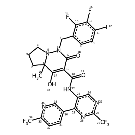 CC12CCCN1N(Cc1ccc(I)c(F)c1F)C(=O)C(C(=O)Nc1cnc(C(F)(F)F)nc1-c1ccc(C(F)(F)F)nc1)=C2O